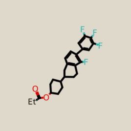 CCC(=O)OC1CCC(C2CCc3c(ccc(-c4cc(F)c(F)c(F)c4)c3F)C2)CC1